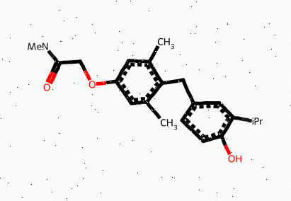 CNC(=O)COc1cc(C)c(Cc2ccc(O)c(C(C)C)c2)c(C)c1